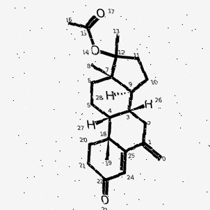 C=C1C[C@@H]2[C@@H](CC[C@@]3(C)[C@H]2CCC3(C)OC(C)=O)[C@@]2(C)CCC(=O)C=C12